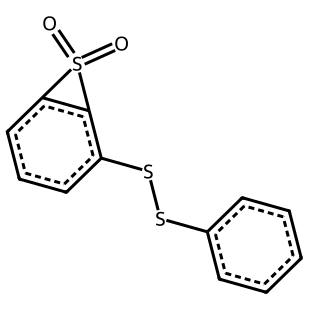 O=S1(=O)c2cccc(SSc3ccccc3)c21